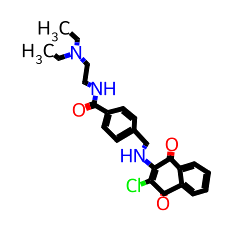 CCN(CC)CCNC(=O)c1ccc(CNC2=C(Cl)C(=O)c3ccccc3C2=O)cc1